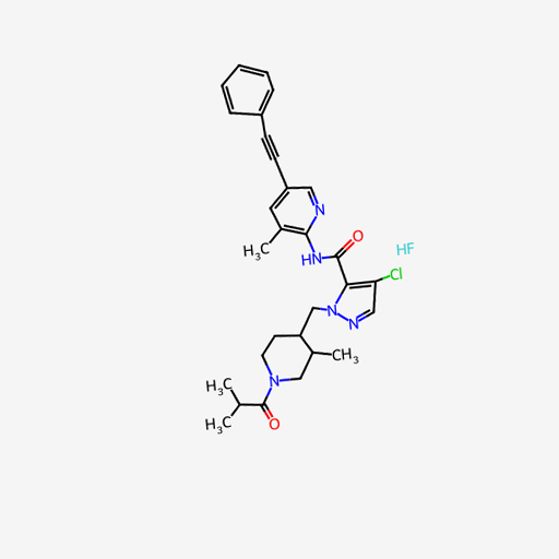 Cc1cc(C#Cc2ccccc2)cnc1NC(=O)c1c(Cl)cnn1CC1CCN(C(=O)C(C)C)CC1C.F